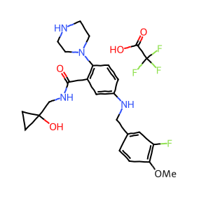 COc1ccc(CNc2ccc(N3CCNCC3)c(C(=O)NCC3(O)CC3)c2)cc1F.O=C(O)C(F)(F)F